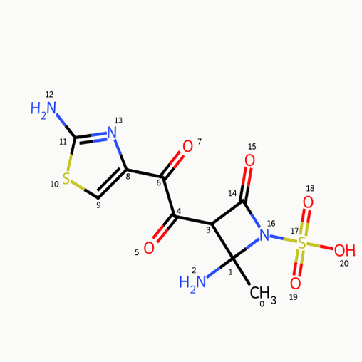 CC1(N)C(C(=O)C(=O)c2csc(N)n2)C(=O)N1S(=O)(=O)O